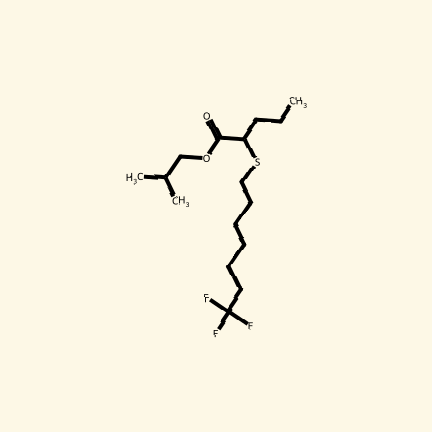 CCCC(SCCCCCCC(F)(F)F)C(=O)OCC(C)C